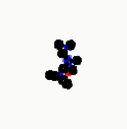 c1ccc(-c2nc(-c3ccc4c5ccccc5n(-c5ccccc5)c4c3)nc(-c3ccc(-n4c5cc6ccccc6cc5c5cc6ccccc6cc54)c4oc5ccccc5c34)n2)cc1